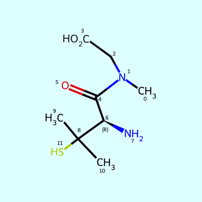 CN(CC(=O)O)C(=O)[C@@H](N)C(C)(C)S